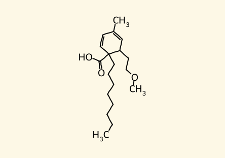 CCCCCCCCC1(C(=O)O)C=CC(C)=CC1CCOC